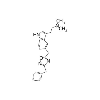 CN(C)CCc1c[nH]c2ccc(Cc3nc(Cc4ccccc4)no3)cc12